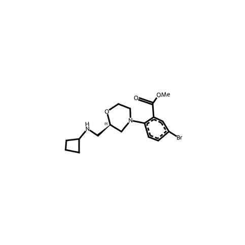 COC(=O)c1cc(Br)ccc1N1CCO[C@H](CNC2CCC2)C1